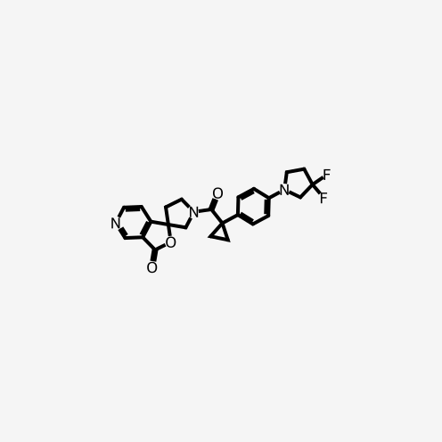 O=C1OC2(CCN(C(=O)C3(c4ccc(N5CCC(F)(F)C5)cc4)CC3)C2)c2ccncc21